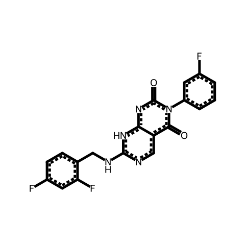 O=c1nc2[nH]c(NCc3ccc(F)cc3F)ncc-2c(=O)n1-c1cccc(F)c1